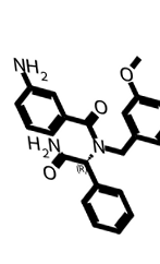 COc1cccc(CN(C(=O)c2cccc(N)c2)[C@@H](C(N)=O)c2ccccc2)c1